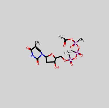 CC(=O)OP(C)(=O)OP(C)(=O)OP(C)(=O)OCC1OC(n2cc(C)c(=O)[nH]c2=O)CC1O